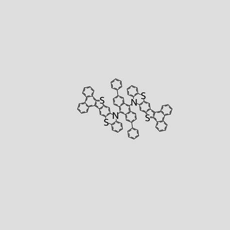 c1ccc(-c2ccc3c(N4c5ccccc5Sc5cc6c(cc54)sc4c5ccccc5c5ccccc5c64)c4cc(-c5ccccc5)ccc4c(N4c5ccccc5Sc5cc6c(cc54)sc4c5ccccc5c5ccccc5c64)c3c2)cc1